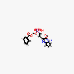 O=C(OCOP(=O)(O)/C=C/c1nc2ccccc2[nH]c1=O)c1ccccc1